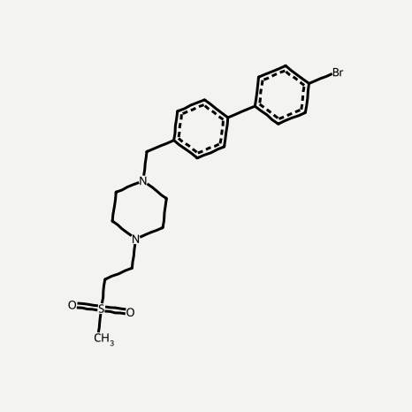 CS(=O)(=O)CCN1CCN(Cc2ccc(-c3ccc(Br)cc3)cc2)CC1